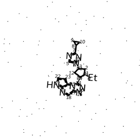 CC[C@@H]1C[C@H](n2cnc(C3CC3)n2)C[C@@H]1c1nnc2cnc3[nH]ccc3n12